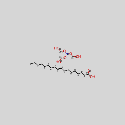 CCCCCCCCC=CCCCCCCCC(=O)O.OCON(OCO)OCO